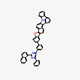 c1ccc(-c2cc(-c3cccc(-c4ccc5oc6c(ccc7c6ccc6c7c7cccc8c9ccccc9n6c87)c5c4)c3)nc(-c3cccc4ccccc34)n2)cc1